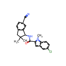 Cn1c(C(=O)NC2c3cc(C#N)ccc3CC2(C)C)cc2cc(Cl)ccc21